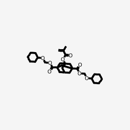 C=C(C)C(=O)OC12CC3CC(C(=O)OCOC4CCCCC4)(C1)CC(C(=O)OCOC1CCCCC1)(C3)C2